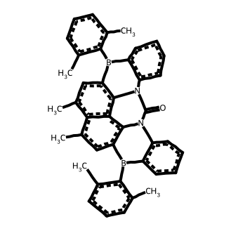 Cc1cccc(C)c1B1c2ccccc2N2C(=O)N3c4ccccc4B(c4c(C)cccc4C)c4cc(C)c5c(C)cc1c2c5c43